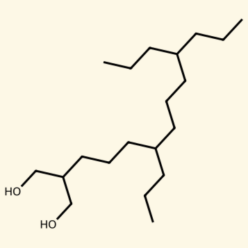 CCCC(CCC)CCCC(CCC)CCCC(CO)CO